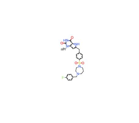 CCCn1c(=O)[nH]c(=O)c2[nH]c(Cc3ccc(S(=O)(=O)N4CCCN(Cc5ccc(F)cc5)CC4)cc3)cc21